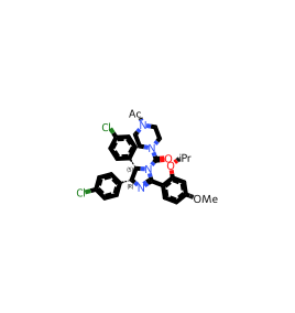 COc1ccc(C2=N[C@H](c3ccc(Cl)cc3)[C@H](c3ccc(Cl)cc3)N2C(=O)N2CCN(C(C)=O)CC2)c(OC(C)C)c1